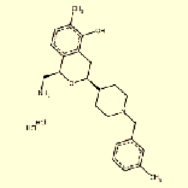 Cc1cccc(CN2CCC([C@@H]3Cc4c(ccc(C)c4O)[C@H](CN)O3)CC2)c1.Cl.Cl